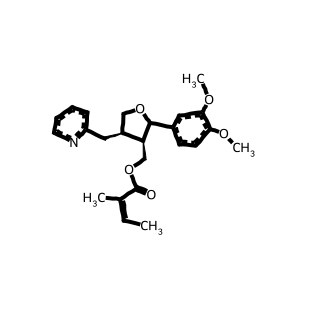 C/C=C(/C)C(=O)OC[C@@H]1C(c2ccc(OC)c(OC)c2)OC[C@@H]1Cc1ccccn1